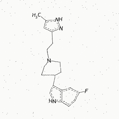 Cc1cc(CCN2CCC(c3c[nH]c4ccc(F)cc34)CC2)n[nH]1